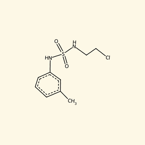 Cc1cccc(NS(=O)(=O)NCCCl)c1